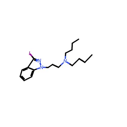 CCCCN(CCCC)CCCn1nc(I)c2ccccc21